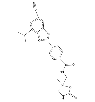 CC(C)c1cc(C#N)cc2nc(-c3ccc(C(=O)NCC4(C)CNC(=O)O4)cc3)oc12